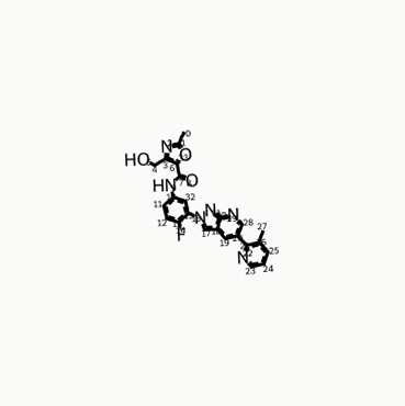 Cc1nc(CO)c(C(=O)Nc2ccc(F)c(-n3cc4cc(-c5ncccc5C)cnc4n3)c2)o1